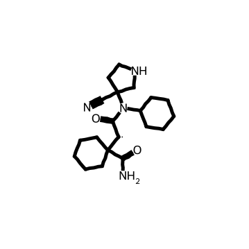 N#CC1(N(C(=O)[CH]C2(C(N)=O)CCCCC2)C2CCCCC2)CCNC1